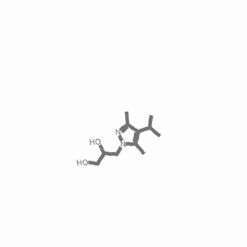 Cc1nn(CC(O)CO)c(C)c1C(C)C